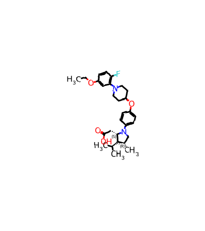 CCOc1ccc(F)c(N2CCC(Oc3ccc(N4C[C@H](C)[C@@H](C(C)C)[C@@H]4CC(=O)O)cc3)CC2)c1